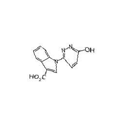 O=C(O)c1cn(-c2ccc(O)nn2)c2ccccc12